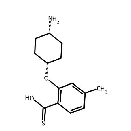 Cc1ccc(C(O)=S)c(O[C@H]2CC[C@@H](N)CC2)c1